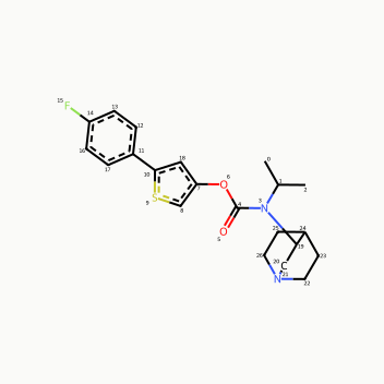 CC(C)N(C(=O)Oc1csc(-c2ccc(F)cc2)c1)C1CN2CCC1CC2